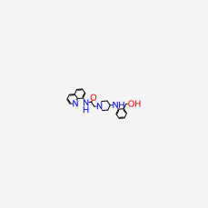 O=C(CN1CCC(Nc2ccccc2CO)CC1)Nc1cccc2cccnc12